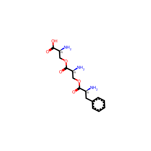 N[C@@H](COC(=O)[C@@H](N)COC(=O)[C@@H](N)Cc1ccccc1)C(=O)O